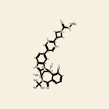 [2H]C([2H])([2H])N1C(=O)c2cccc(Cl)c2[C@H]2C[C@@H]1c1nc3ccc(-c4cnc(C5CN(C(=O)OC(C)(C)C)C5)nc4)cc3n12